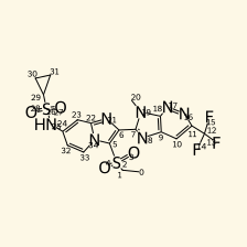 CCS(=O)(=O)c1c(-c2nc3cc(C(F)(F)F)nnc3n2C)nc2cc(NS(=O)(=O)C3CC3)ccn12